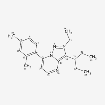 CCc1nn2c(-c3ccc(C)cc3C)ccnc2c1C(CC)CC